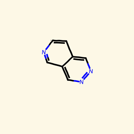 [c]1cc2cnncc2cn1